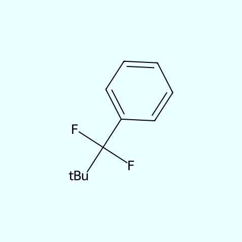 CC(C)(C)C(F)(F)c1ccccc1